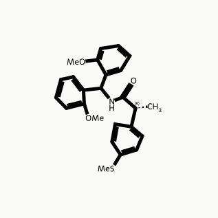 COc1ccccc1C(NC(=O)[C@H](C)c1ccc(SC)cc1)c1ccccc1OC